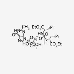 CCOC(=O)C(CC(C)C)NP(=O)(NC(CC(C)C)C(=O)OCC)OC[C@H]1O[C@@H](n2cnc3c(=O)[nH]c(C)nc32)C(C)(O)[C@H]1O